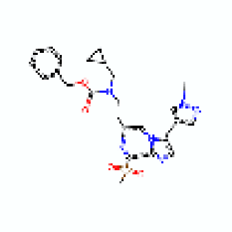 Cn1cc(-c2cnc3c(S(C)(=O)=O)nc(CCN(CC4CC4)C(=O)OCc4ccccc4)cn23)cn1